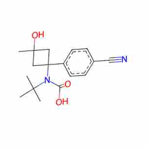 CC1(O)CC(c2ccc(C#N)cc2)(N(C(=O)O)C(C)(C)C)C1